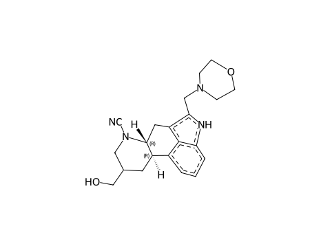 N#CN1CC(CO)C[C@@H]2c3cccc4[nH]c(CN5CCOCC5)c(c34)C[C@H]21